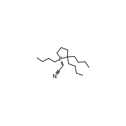 CCCCC1(CCCC)CCCP1(=CC#N)CCCC